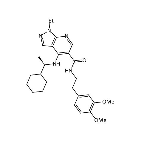 CCn1ncc2c(N[C@H](C)C3CCCCC3)c(C(=O)NCCc3ccc(OC)c(OC)c3)cnc21